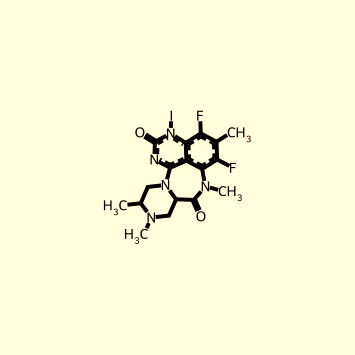 Cc1c(F)c2c3c(nc(=O)n(I)c3c1F)N1CC(C)N(C)CC1C(=O)N2C